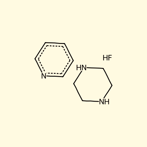 C1CNCCN1.F.c1ccncc1